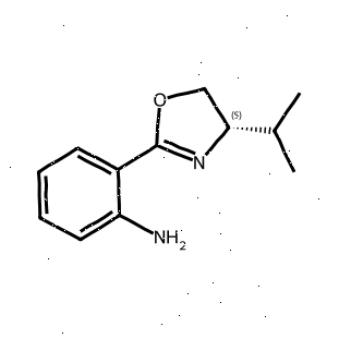 CC(C)[C@H]1COC(c2ccccc2N)=N1